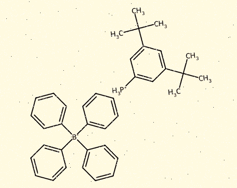 CC(C)(C)c1cc([PH3+])cc(C(C)(C)C)c1.c1ccc([B-](c2ccccc2)(c2ccccc2)c2ccccc2)cc1